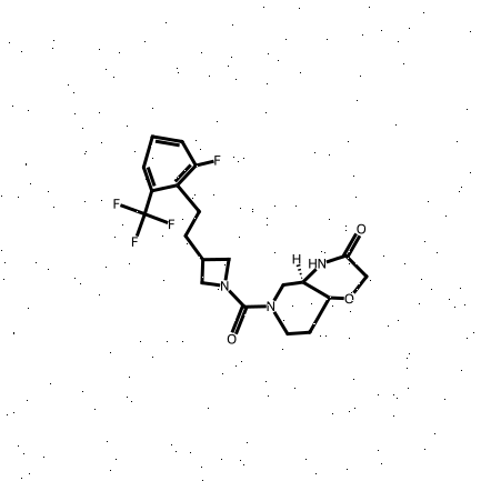 O=C1COC2CCN(C(=O)N3CC(CCc4c(F)cccc4C(F)(F)F)C3)C[C@H]2N1